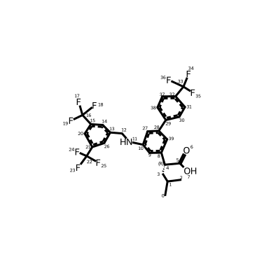 CC(C)C[C@@H](C(=O)O)c1cc(NCc2cc(C(F)(F)F)cc(C(F)(F)F)c2)cc(-c2ccc(C(F)(F)F)cc2)c1